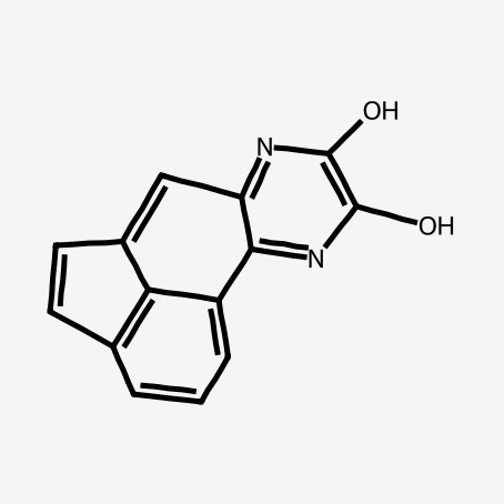 Oc1nc2cc3c4c(cccc4c2nc1O)C=C3